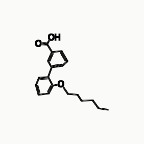 CCCCCCOc1ccccc1-c1cccc(C(=O)O)c1